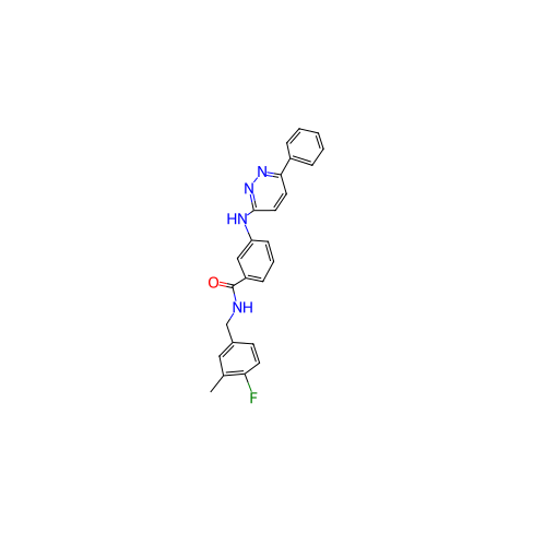 Cc1cc(CNC(=O)c2cccc(Nc3ccc(-c4ccccc4)nn3)c2)ccc1F